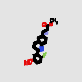 COC(=O)/C=C/c1ccc2nc(-c3cc(O)ccc3F)ccc2c1